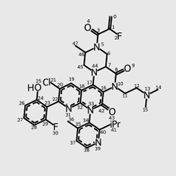 C=C(F)C(=O)N1CC2C(=O)N(CCN(C)C)c3c(c4cc(Cl)c(-c5c(O)cccc5F)nc4n(-c4c(C)ccnc4C(C)C)c3=O)N2CC1C